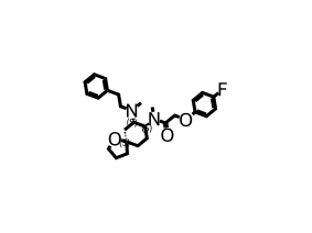 CN(CCc1ccccc1)[C@H]1C[C@@]2(CCCO2)CC[C@@H]1N(C)C(=O)COc1ccc(F)cc1